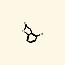 CCCc1cccc2c1CC(=O)N2